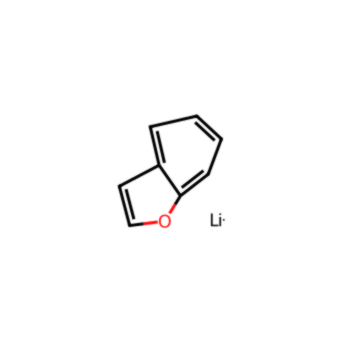 [Li].c1ccc2occc2c1